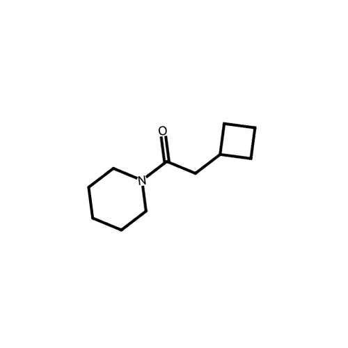 O=C(CC1CCC1)N1CCCCC1